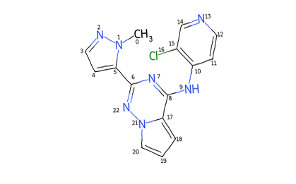 Cn1nccc1-c1nc(Nc2ccncc2Cl)c2cccn2n1